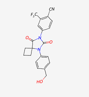 N#Cc1ccc(N2C(=O)N(c3ccc(CO)cc3)C3(CCC3)C2=O)cc1C(F)(F)F